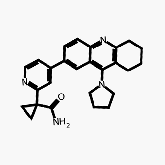 NC(=O)C1(c2cc(-c3ccc4nc5c(c(N6CCCC6)c4c3)CCCC5)ccn2)CC1